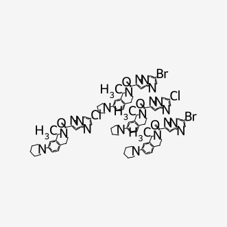 CC1c2cc(N3CCCC3)ccc2CCN1C(=O)c1cc2ncc(Br)cn2n1.CC1c2cc(N3CCCC3)ccc2CCN1C(=O)c1cc2ncc(Cl)cn2n1.CC1c2cc(N3CCCCC3)ccc2CCN1C(=O)c1cc2ncc(Br)cn2n1.CC1c2cc(N3CCCCC3)ccc2CCN1C(=O)c1cc2ncc(Cl)cn2n1